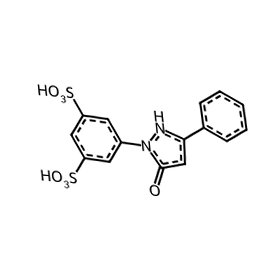 O=c1cc(-c2ccccc2)[nH]n1-c1cc(S(=O)(=O)O)cc(S(=O)(=O)O)c1